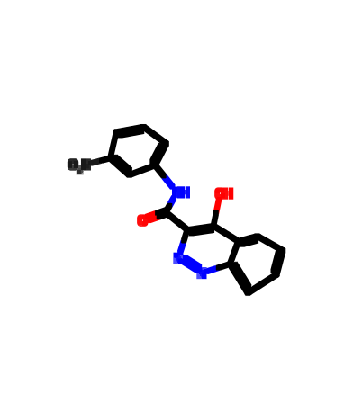 O=C(Nc1cccc([N+](=O)[O-])c1)c1nnc2ccccc2c1O